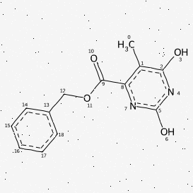 Cc1c(O)nc(O)nc1C(=O)OCc1ccccc1